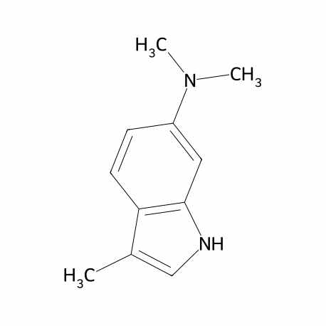 Cc1c[nH]c2cc(N(C)C)ccc12